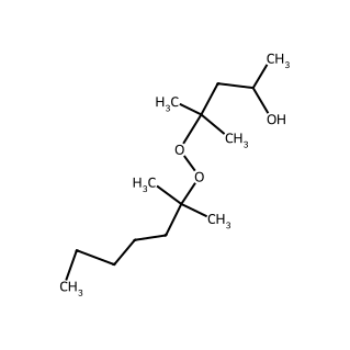 CCCCCC(C)(C)OOC(C)(C)CC(C)O